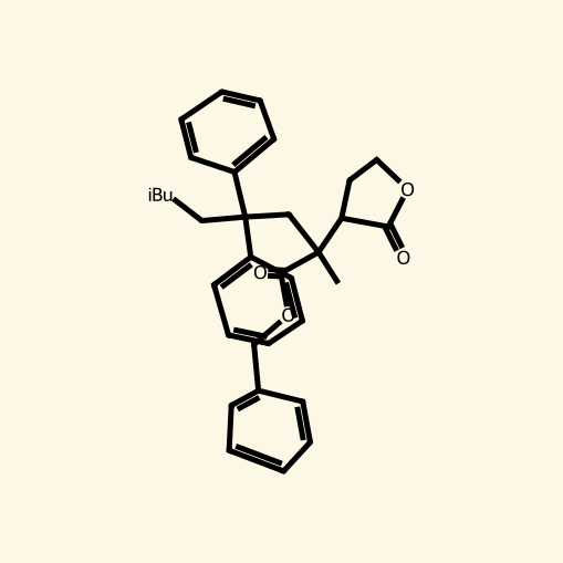 CCC(C)CC(CC(C)(C(=O)OCc1ccccc1)C1CCOC1=O)(c1ccccc1)c1ccccc1